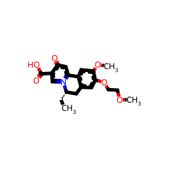 CC[C@H]1Cc2cc(OCCOC)c(OC)cc2-c2cc(=O)c(C(=O)O)cn21